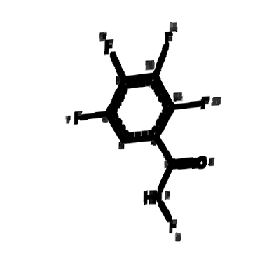 O=C(NF)c1cc(F)c(F)c(F)c1F